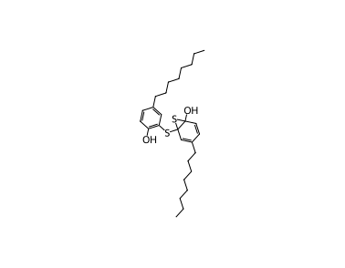 CCCCCCCCC1=CC2(Sc3cc(CCCCCCCC)ccc3O)SC2(O)C=C1